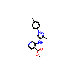 COC(=O)c1ccncc1Nc1cn(-c2ccc(C)cc2)nc1C